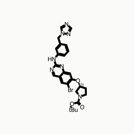 CC(C)(C)OC(=O)N1CC[C@H](Oc2cc3nc(Nc4cccc(Cn5cncn5)c4)ncc3cc2Br)C1